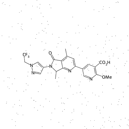 COc1ncc(-c2cc(C)c3c(n2)C(C)N(c2cnn(CC(F)(F)F)c2)C3=O)cc1C(=O)O